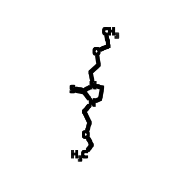 CCOCCN1CCN(CCOCC)C1=S